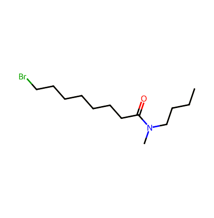 CCCCN(C)C(=O)CCCCCCCBr